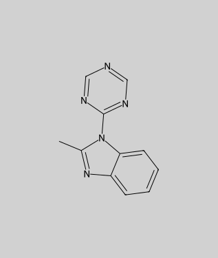 Cc1nc2ccccc2n1-c1ncncn1